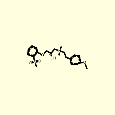 COc1ccc(CC[N+](C)(C)C[C@@H](O)COc2ccccc2S(C)(=O)=O)cc1